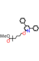 COC(=O)C(C)(C)CCCCOc1cc(-c2ccccc2)cc(-c2ccccc2)n1